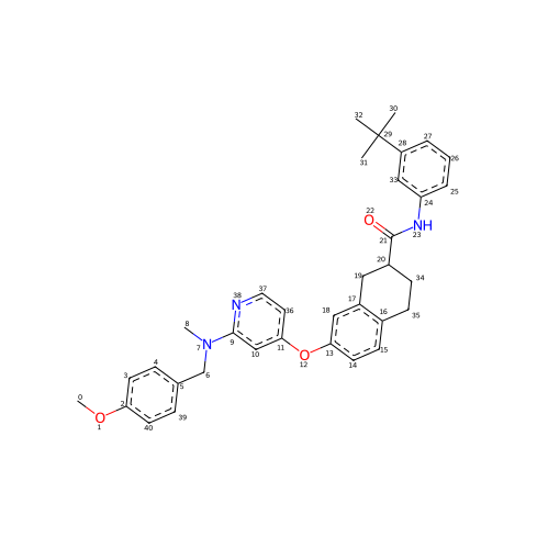 COc1ccc(CN(C)c2cc(Oc3ccc4c(c3)CC(C(=O)Nc3cccc(C(C)(C)C)c3)CC4)ccn2)cc1